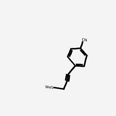 CSCC#Cc1ccc(C#N)cc1